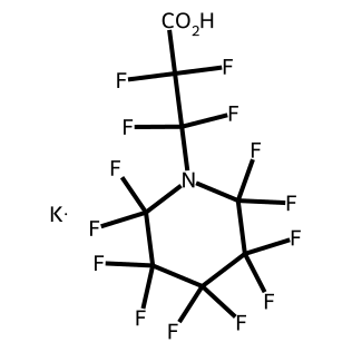 O=C(O)C(F)(F)C(F)(F)N1C(F)(F)C(F)(F)C(F)(F)C(F)(F)C1(F)F.[K]